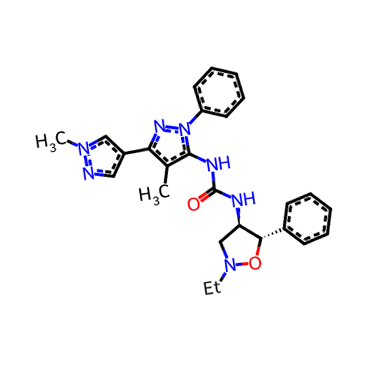 CCN1C[C@@H](NC(=O)Nc2c(C)c(-c3cnn(C)c3)nn2-c2ccccc2)[C@H](c2ccccc2)O1